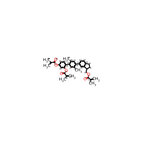 C=C(C)C(=O)OCC1CCc2ccc(-c3cc(C)c(-c4ccc(OC(=O)C(=C)C)cc4OC(=O)C(=C)C)cc3C)cc21